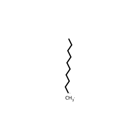 [CH2]CCCCCCCCC.[CH3]